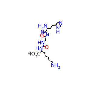 NCCCCC[C@H](NC(=O)NCc1nc([C@@H](N)CCc2cnc[nH]2)no1)C(=O)O